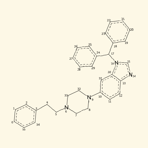 c1ccc(CCN2CCN(c3ccc4ncn(C(c5ccccc5)c5ccccc5)c4c3)CC2)cc1